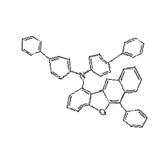 c1ccc(-c2ccc(N(c3ccc(-c4ccccc4)cc3)c3cccc4oc5c(-c6ccccc6)c6ccccc6cc5c34)cc2)cc1